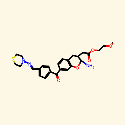 COCCOC(=O)CC1Cc2ccc(C(=O)c3ccc(C=NN4CCSCC4)cc3)cc2OC1N